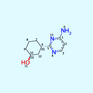 Nc1ccnc([C@H]2CCC[C@H](O)C2)n1